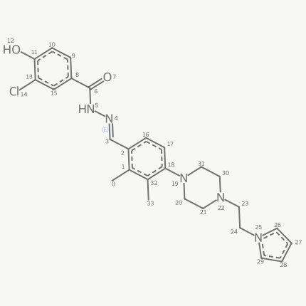 Cc1c(/C=N/NC(=O)c2ccc(O)c(Cl)c2)ccc(N2CCN(CCn3cccc3)CC2)c1C